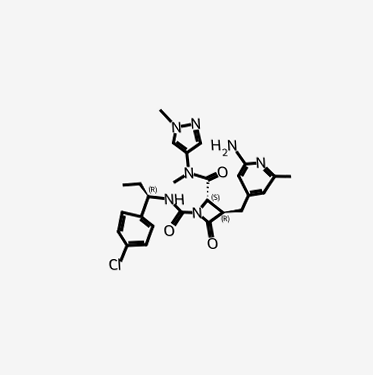 CC[C@@H](NC(=O)N1C(=O)[C@H](Cc2cc(C)nc(N)c2)[C@H]1C(=O)N(C)c1cnn(C)c1)c1ccc(Cl)cc1